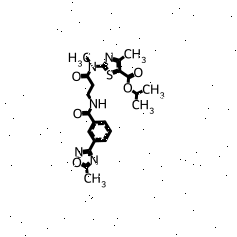 Cc1nc(-c2cccc(C(=O)NCCC(=O)N(C)c3nc(C)c(C(=O)OC(C)C)s3)c2)no1